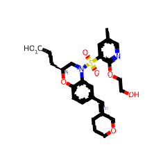 Cc1cnc(OCCO)c(S(=O)(=O)N2C[C@H](CCC(=O)O)Oc3ccc(/C=C4\CCCOC4)cc32)c1